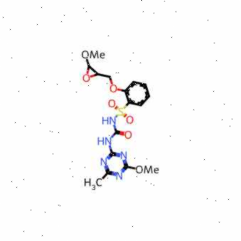 COc1nc(C)nc(NC(=O)NS(=O)(=O)c2ccccc2OCC2OC2OC)n1